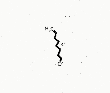 C=CCCCCCC[O-].[K+]